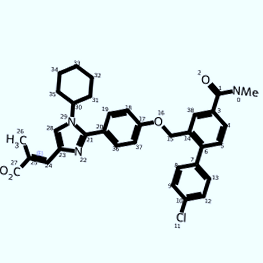 CNC(=O)c1ccc(-c2ccc(Cl)cc2)c(COc2ccc(-c3nc(/C=C(\C)C(=O)O)cn3C3CCCCC3)cc2)c1